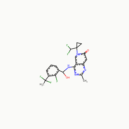 Cc1nc(NC(O)c2cccc(C(C)(F)F)c2F)c2cn(C3(C(F)F)CC3)c(=O)cc2n1